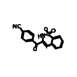 N#Cc1ccc(C(=O)C2=[C]c3ccccc3S(=O)(=O)N2)cc1